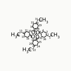 CCc1ccc(OC(Oc2ccc(CC)cc2)(Oc2ccc(CC)cc2)Oc2ccc(CC)cc2)cc1